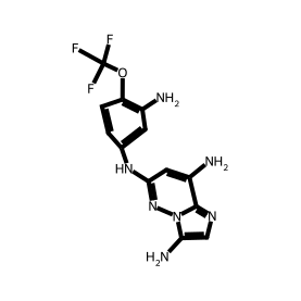 Nc1cc(Nc2cc(N)c3ncc(N)n3n2)ccc1OC(F)(F)F